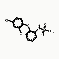 CS(=O)(=O)Nc1ccccc1Oc1ccc(Cl)cc1Cl